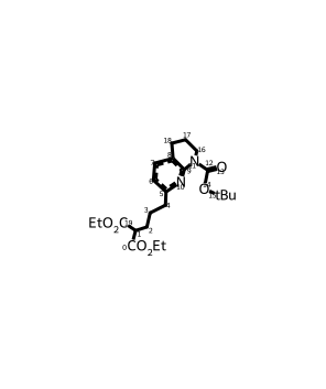 CCOC(=O)C(CCCc1ccc2c(n1)N(C(=O)OC(C)(C)C)CCC2)C(=O)OCC